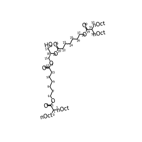 CCCCCCCCC(CCCCCCCC)C(=O)OCCCCCCC(=O)OC[C@@H](CO)OC(=O)CCCCCCOC(=O)C(CCCCCCCC)CCCCCCCC